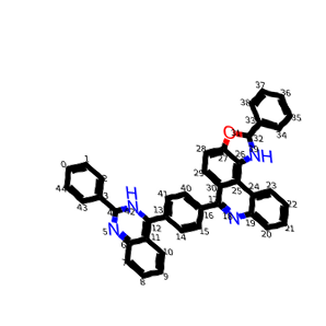 c1ccc(C2N=c3ccccc3=C(c3ccc(-c4nc5ccccc5c5c6c(ccc45)OC(c4ccccc4)N6)cc3)N2)cc1